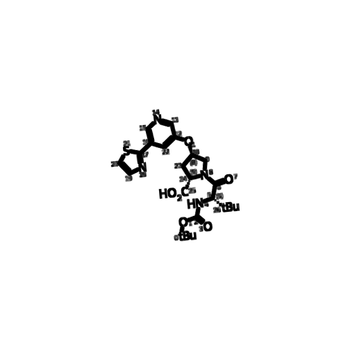 CC(C)(C)OC(=O)N[C@H](C(=O)N1C[C@H](Oc2cncc(-c3nccs3)c2)C[C@H]1C(=O)O)C(C)(C)C